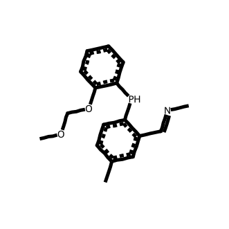 C/N=C/c1cc(C)ccc1Pc1ccccc1OCOC